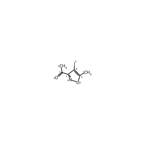 CC(=O)c1noc(C)c1I